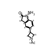 CC(=O)N1CC(c2ccc3c(c2)CC(=O)N3N)C1